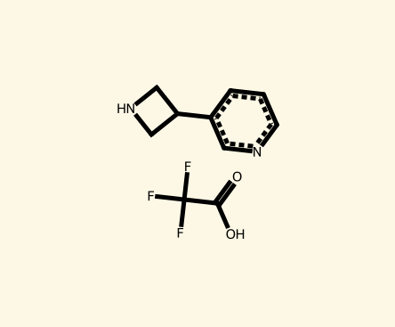 O=C(O)C(F)(F)F.c1cncc(C2CNC2)c1